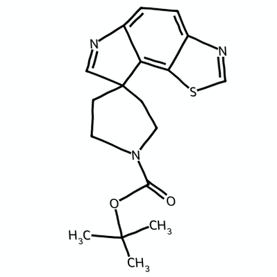 CC(C)(C)OC(=O)N1CCC2(C=Nc3ccc4ncsc4c32)CC1